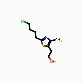 Cc1nc(CCCCCl)sc1CCO